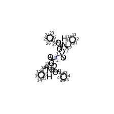 O=C(/C=C/C(=O)OC[C@@H](Cc1ccccc1)NC(=O)OCc1ccccc1)OC[C@@H](Cc1ccccc1)NC(=O)OCc1ccccc1